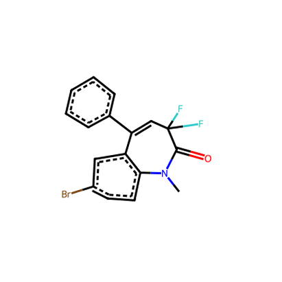 CN1C(=O)C(F)(F)C=C(c2ccccc2)c2cc(Br)ccc21